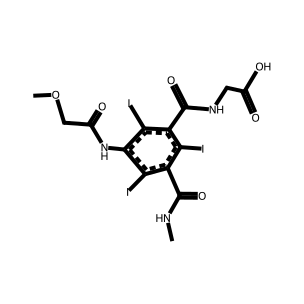 CNC(=O)c1c(I)c(NC(=O)COC)c(I)c(C(=O)NCC(=O)O)c1I